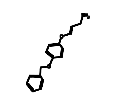 NCC=COc1ccc(OCc2ccccc2)cc1